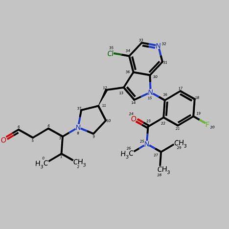 CC(C)C(CCC=O)N1CC[C@H](Cc2cn(-c3ccc(F)cc3C(=O)N(C)C(C)C)c3cncc(Cl)c23)C1